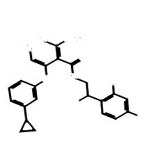 CO/C(N)=C(C(=O)NCC(F)c1ccc(Cl)cc1Cl)/C(=C\N)Oc1cccc(C2CC2)c1